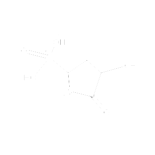 CC1CC(P(=O)(O)O)SC1=O